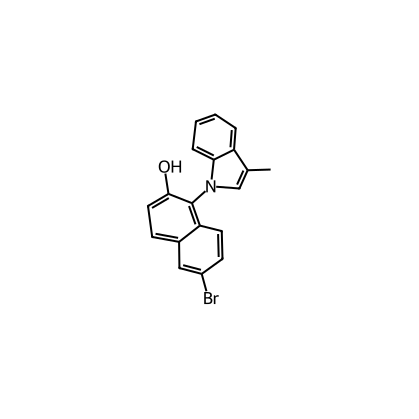 Cc1cn(-c2c(O)ccc3cc(Br)ccc23)c2ccccc12